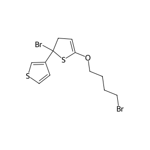 BrCCCCOC1=CCC(Br)(c2ccsc2)S1